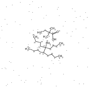 CCC(C)(C)C(=O)O.CCCCC(CCCC)C(P)(CCCC)CCCC